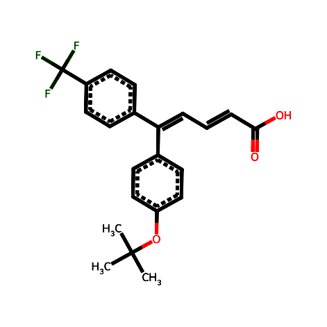 CC(C)(C)Oc1ccc(/C(=C\C=C\C(=O)O)c2ccc(C(F)(F)F)cc2)cc1